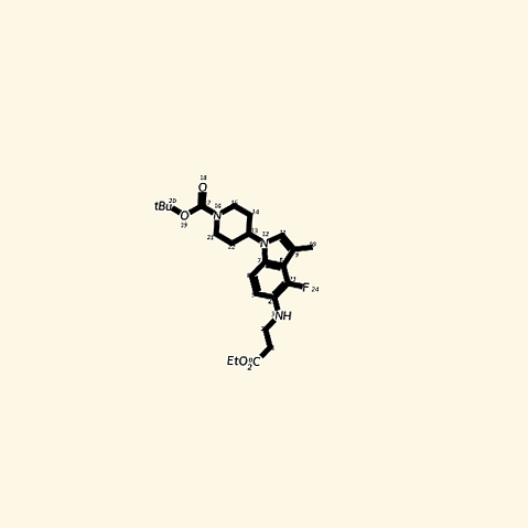 CCOC(=O)CCNc1ccc2c(c(C)cn2C2CCN(C(=O)OC(C)(C)C)CC2)c1F